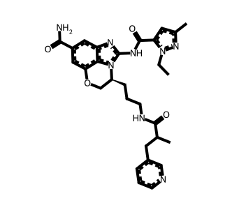 CCn1nc(C)cc1C(=O)Nc1nc2cc(C(N)=O)cc3c2n1[C@@H](CCCNC(=O)C(C)Cc1cccnc1)CO3